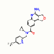 Nc1nc2ccc(C(=O)N(Cc3ccc(C(F)(F)F)cn3)C3CC3)cc2c2c1COC2